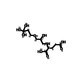 O=C(O)CC[C@H](NCC(O)COCCC(O)(O)O)C(=O)O